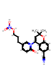 CC1(C)C=C(n2cc(CCCO[N+](=O)[O-])ccc2=O)c2cc(C#N)ccc2O1